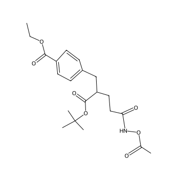 CCOC(=O)c1ccc(CC(CCC(=O)NOC(C)=O)C(=O)OC(C)(C)C)cc1